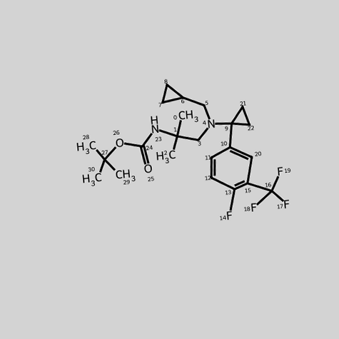 CC(C)(CN(CC1CC1)C1(c2ccc(F)c(C(F)(F)F)c2)CC1)NC(=O)OC(C)(C)C